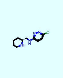 Clc1ccc(NC[C@H]2CCCCN2)nn1